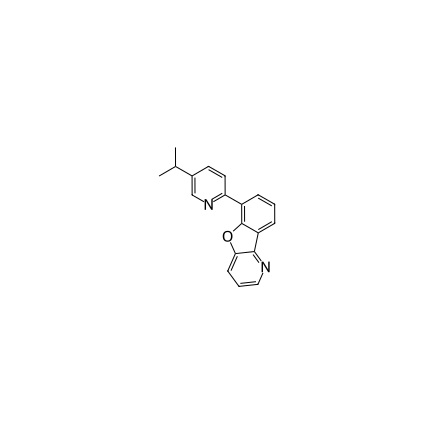 CC(C)c1ccc(-c2cccc3c2oc2cccnc23)nc1